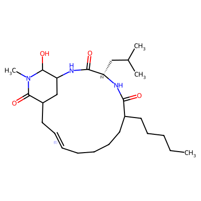 CCCCCC1CCCC/C=C/CC2CC(NC(=O)[C@H](CC(C)C)NC1=O)C(O)N(C)C2=O